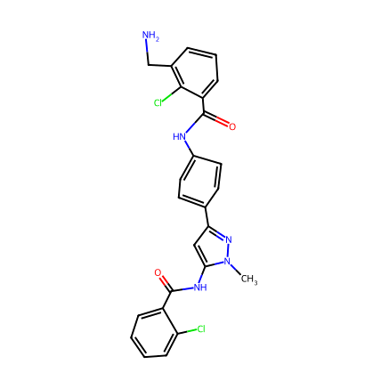 Cn1nc(-c2ccc(NC(=O)c3cccc(CN)c3Cl)cc2)cc1NC(=O)c1ccccc1Cl